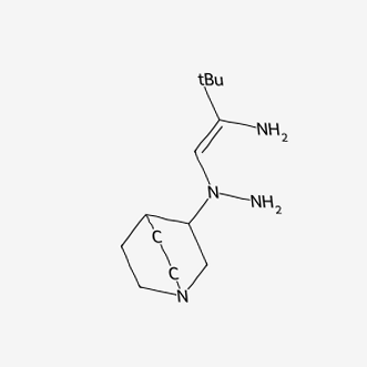 CC(C)(C)/C(N)=C/N(N)C1CN2CCC1CC2